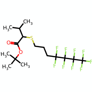 CC(C)C(SCCCC(F)(F)C(F)(F)C(F)(F)C(F)(F)F)C(=O)OC(C)(C)C